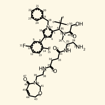 CC(C)(C)[C@H](c1cc(-c2cc(F)ccc2F)cn1Cc1ccccc1)N(C[C@H](CN)NC(=O)CCC(=O)NCCN1COCC=CC1=O)C(=O)CO